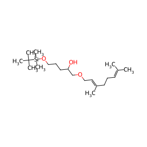 CC(C)=CCCC(C)=CCOCC(O)CCCO[Si](C)(C)C(C)(C)C